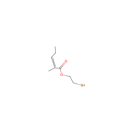 CCC=C(C)C(=O)OCCS